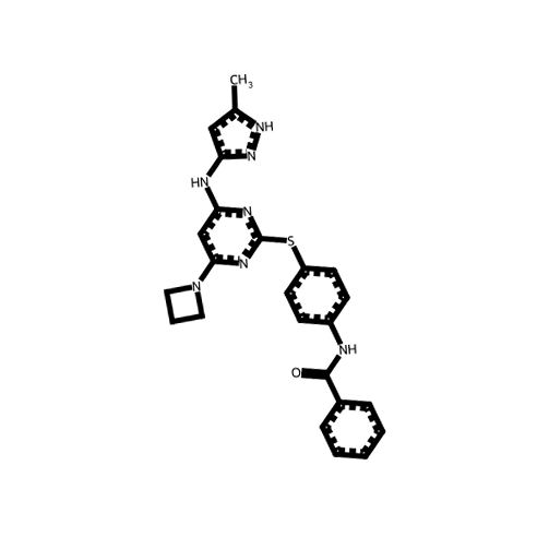 Cc1cc(Nc2cc(N3CCC3)nc(Sc3ccc(NC(=O)c4ccccc4)cc3)n2)n[nH]1